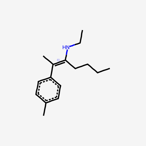 CCCC/C(NCC)=C(/C)c1ccc(C)cc1